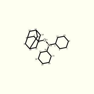 C1CCC(N(OC23CC4CC(CC(C4)C2)C3)C2CCCCC2)CC1